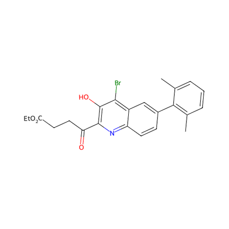 CCOC(=O)CCC(=O)c1nc2ccc(-c3c(C)cccc3C)cc2c(Br)c1O